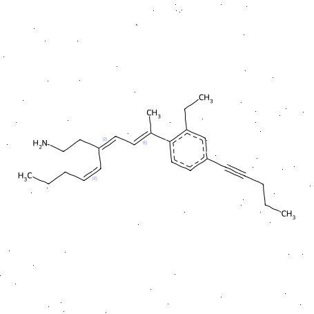 CCCC#Cc1ccc(/C(C)=C/C=C(\C=C/CCC)CCN)c(CC)c1